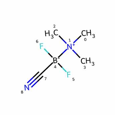 C[N+](C)(C)[B-](F)(F)C#N